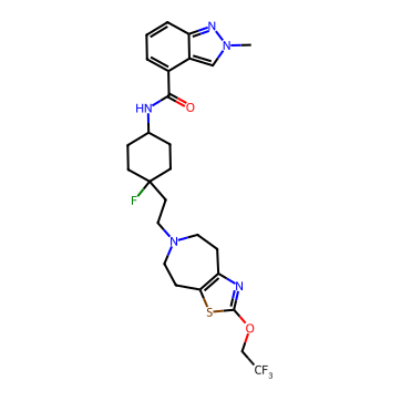 Cn1cc2c(C(=O)NC3CCC(F)(CCN4CCc5nc(OCC(F)(F)F)sc5CC4)CC3)cccc2n1